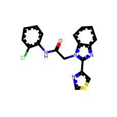 O=C(Cn1c(-c2cscn2)nc2ccccc21)Nc1ccccc1Cl